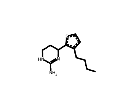 CCCCc1ccsc1C1CCNC(N)=N1